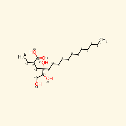 CCCCCCCCCCCC[C@](O)(CC(CC)C(=O)O)C(O)CO